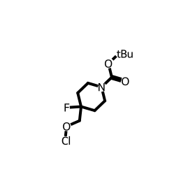 CC(C)(C)OC(=O)N1CCC(F)(COCl)CC1